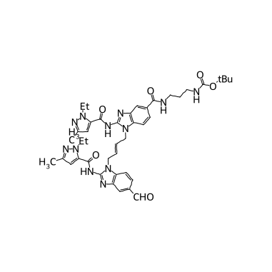 CCn1nc(C)cc1C(=O)Nc1nc2cc(C=O)ccc2n1C/C=C/Cn1c(NC(=O)c2cc(C)nn2CC)nc2cc(C(=O)NCCCNC(=O)OC(C)(C)C)ccc21